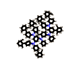 Cc1cccc(C)c1-c1ccc(N(c2ccc(-c3c(C)cccc3C)cc2)c2cc3c4c(c2)N(c2ccccc2)c2cc5c(cc2B4c2ccc(-c4c(C)cccc4C)cc2N3c2cccc(-c3c(C)cccc3C)c2)B2c3ccc(-c4c(C)cccc4C)cc3N(c3cccc(-c4c(C)cccc4C)c3)c3cc(-c4c(C)cccc4C)cc(c32)N5c2ccccc2)cc1